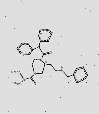 CCCCCN(CCCCC)C(=O)N1CCN(C(=O)N(c2ccccc2)c2ccccc2)[C@@H](CCNCc2ccccc2)C1